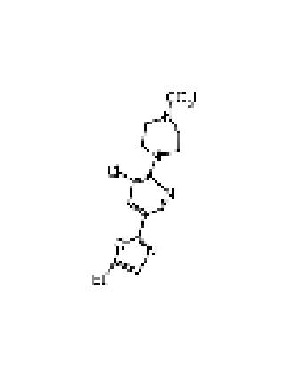 CCc1cnc(-c2cnc(N3CCN(C(=O)O)CC3)c(Cl)c2)o1